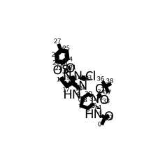 CC(=O)NC[C@@H]1CC[C@H](Nc2nc(Cl)nc3c2ccn3S(=O)(=O)c2ccc(C)cc2)CN1C(=O)OC(C)(C)C